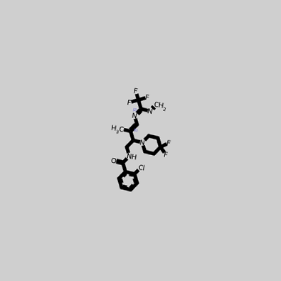 C=N/C(=N\C=C(/C)C(CNC(=O)c1ccccc1Cl)N1CCC(F)(F)CC1)C(F)(F)F